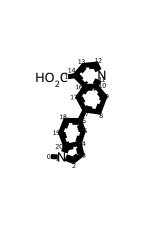 Cn1ccc2cc(-c3ccc4nccc(C(=O)O)c4c3)ccc21